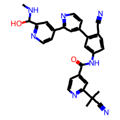 CNC(O)c1cc(-c2cc(-c3cc(NC(=O)c4ccnc(C(C)(C)C#N)c4)ccc3C#N)ccn2)ccn1